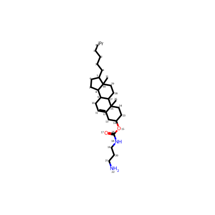 CC(C)CCCCC1CCC2C3CC=C4CC(OC(=O)NCCCN)CCC4(C)C3CCC12C